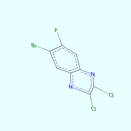 Fc1cc2nc(Cl)c(Cl)nc2cc1Br